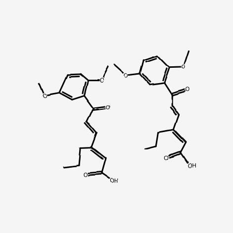 CCCC(/C=C/C(=O)c1cc(OC)ccc1OC)=C\C(=O)O.CCCC(/C=C/C(=O)c1cc(OC)ccc1OC)=C\C(=O)O